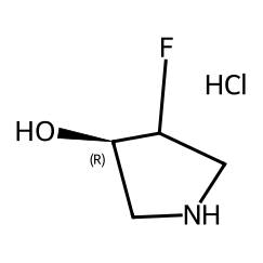 Cl.O[C@@H]1CNCC1F